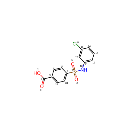 O=C(O)c1ccc(S(=O)(=O)Nc2cccc(Cl)c2)cc1